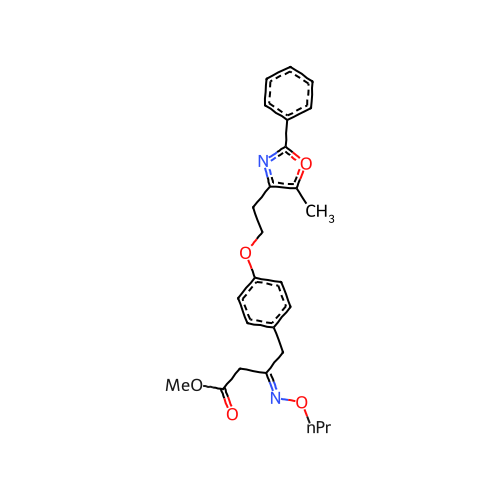 CCCO/N=C(/CC(=O)OC)Cc1ccc(OCCc2nc(-c3ccccc3)oc2C)cc1